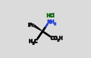 CC(C)[C@](C)(N)C(=O)O.Cl